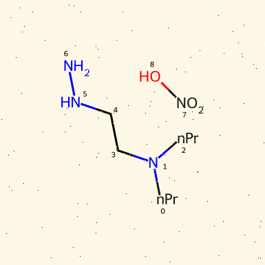 CCCN(CCC)CCNN.O=[N+]([O-])O